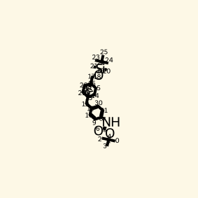 CC(C)(C)OC(=O)Nc1ccc(CC23CCC(CO[Si](C)(C)C(C)(C)C)(CC2)CC3)cc1